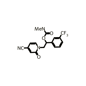 CNC(=O)OC(Cn1ccc(C#N)cc1=O)c1cccc(C(F)(F)F)c1